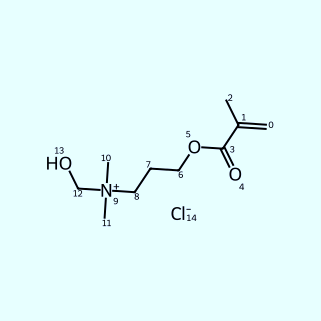 C=C(C)C(=O)OCCC[N+](C)(C)CO.[Cl-]